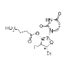 CC[C@H]1O[C@@H](n2ccc(=O)[nH]c2=O)[C@@H](OC(=O)CCC(=O)O)C1F